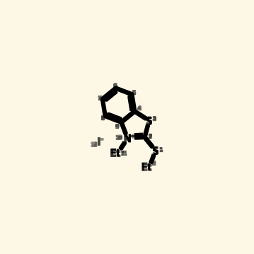 CCSc1sc2ccccc2[n+]1CC.[I-]